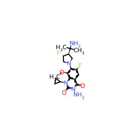 COc1c(N2C[C@H](F)[C@@H](C(C)(C)N)C2)c(F)cc2c(=O)n(N)c(=O)n(C3CC3)c12